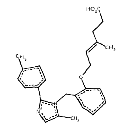 C/C(=C\COc1ccccc1Cn1c(C)cnc1-c1ccc(C)cc1)CCC(=O)O